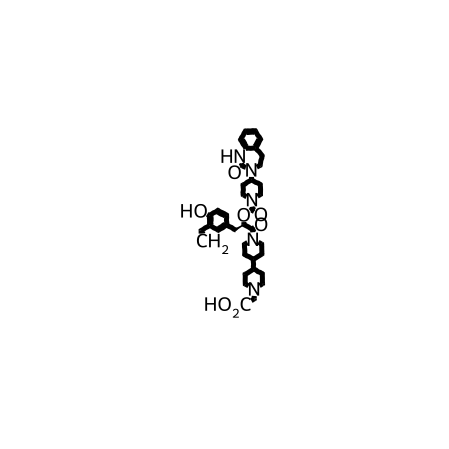 C=Cc1cc(C[C@@H](OC(=O)N2CCC(N3CCc4ccccc4NC3=O)CC2)C(=O)N2CCC(C3CCN(CC(=O)O)CC3)CC2)ccc1O